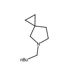 CCCCCN1CCC2(CC2)C1